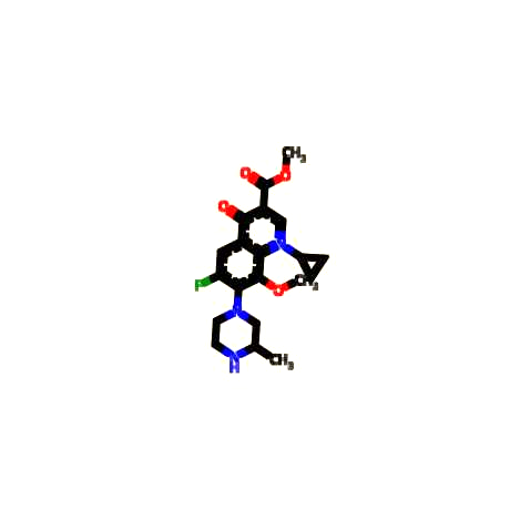 COC(=O)c1cn(C2CC2)c2c(OC)c(N3CCNC(C)C3)c(F)cc2c1=O